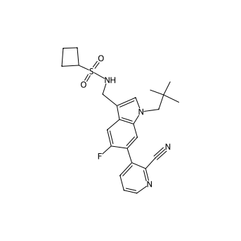 CC(C)(C)Cn1cc(CNS(=O)(=O)C2CCC2)c2cc(F)c(-c3cccnc3C#N)cc21